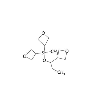 CCC(O[Si](C)(C1COC1)C1COC1)C1COC1